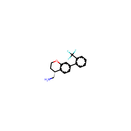 NC[C@@H]1CCOc2cc(-c3ccccc3C(F)(F)F)ccc21